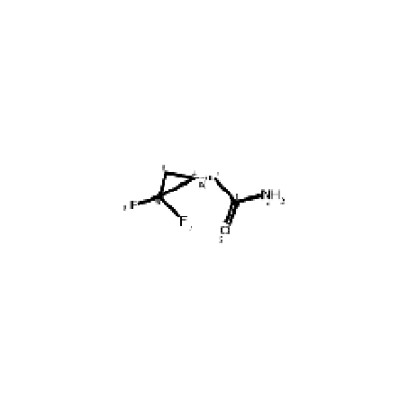 NC(=O)C[C@H]1CC1(F)F